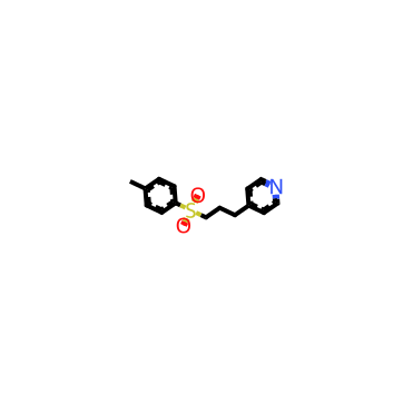 Cc1ccc(S(=O)(=O)CCCc2ccncc2)cc1